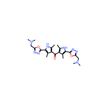 Cc1[nH]c(-c2nnc(CN(C)C)o2)c(C)c1C(=O)c1c(C)[nH]c(-c2nnc(CN(C)C)o2)c1C